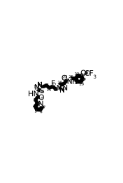 O=C(Cc1ccccn1)Nc1nnc(CCC(F)Cn2cc(C(=O)NCc3cccc(OC(F)(F)F)c3)nn2)s1